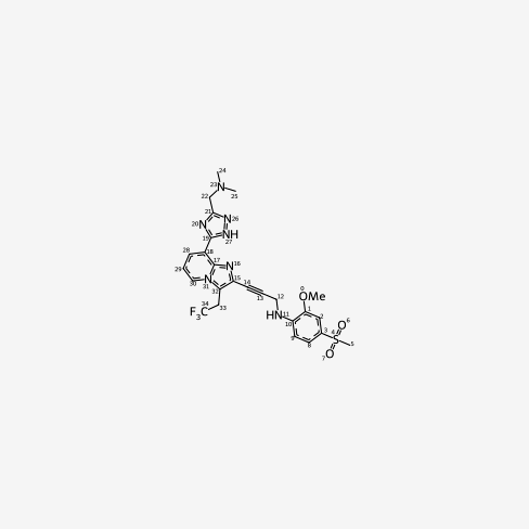 COc1cc(S(C)(=O)=O)ccc1NCC#Cc1nc2c(-c3nc(CN(C)C)n[nH]3)cccn2c1CC(F)(F)F